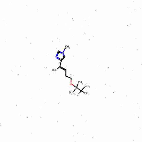 CC(=CCCO[Si](C)(C)C(C)(C)C)c1cn(C)cn1